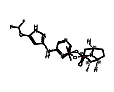 C[C@@H]1[C@H](Oc2cncc(Nc3cc(OC(F)F)[nH]n3)n2)C[C@H]2CC[C@@H]1N2C(=O)OC(C)(C)C